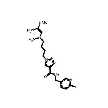 CN/C(N)=C/N(N)CCCCn1cc(C(=O)NCc2ccc(C)nc2)nn1